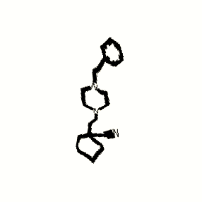 N#CC1(CCN2CCN(Cc3ccccc3)CC2)CCCC1